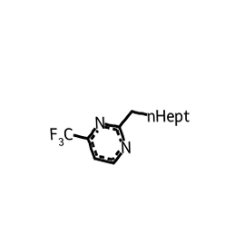 CCCCCCCCc1nccc(C(F)(F)F)n1